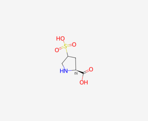 O=C(O)[C@@H]1CC(S(=O)(=O)O)CN1